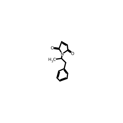 CC(Cc1ccccc1)N1C(=O)C=CC1=O